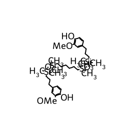 COc1cc(CCC[Si](C)(C)O[Si](C)(C)CCCCCC[Si](C)(C)O[Si](C)(C)CCCc2ccc(O)c(OC)c2)ccc1O